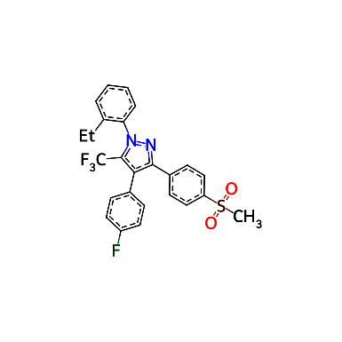 CCc1ccccc1-n1nc(-c2ccc(S(C)(=O)=O)cc2)c(-c2ccc(F)cc2)c1C(F)(F)F